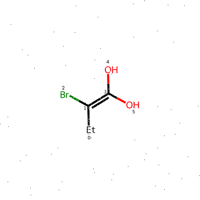 CCC(Br)=C(O)O